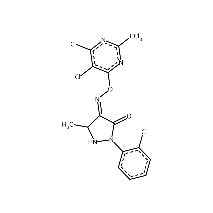 CC1NN(c2ccccc2Cl)C(=O)C1=NOc1nc(C(Cl)(Cl)Cl)nc(Cl)c1Cl